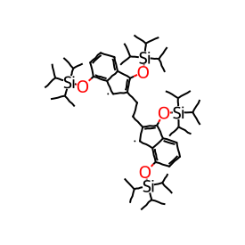 CC(C)[Si](OC1=C(CCC2=C(O[Si](C(C)C)(C(C)C)C(C)C)c3cccc(O[Si](C(C)C)(C(C)C)C(C)C)c3[CH]2)[CH]c2c(O[Si](C(C)C)(C(C)C)C(C)C)cccc21)(C(C)C)C(C)C